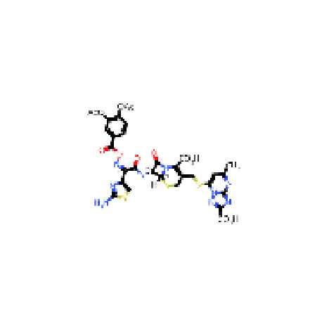 CC(=O)Oc1ccc(C(=O)O/N=C(\C(=O)N[C@@H]2C(=O)N3C(C(=O)O)=C(CSc4cc(C)nc5nc(C(=O)O)nn45)CS[C@H]23)c2csc(N)n2)cc1OC(C)=O